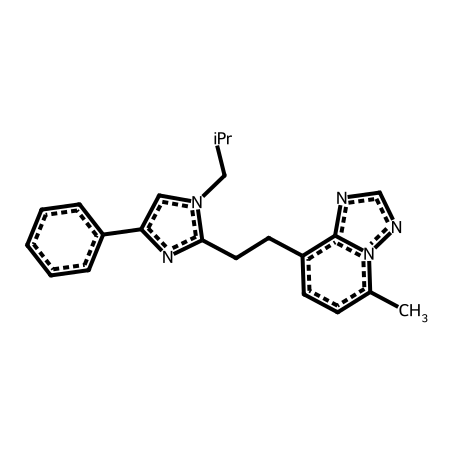 Cc1ccc(CCc2nc(-c3ccccc3)cn2CC(C)C)c2ncnn12